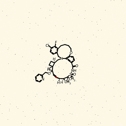 C[C@@H]1[C@@H](C)S(=O)(=O)NC(=O)c2ccc3c(c2)N(Cc2ccc(Cl)c(F)c2CCCCO3)C[C@@H]2CC[C@H]2[C@@H](OCc2ccccn2)C2=C[C@H]1C2